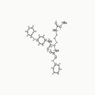 CC(C)(C)OC(=O)NCCCC(NC(=O)OCc1ccccc1)C(=O)Nc1ccc(Cc2ccccc2)cc1